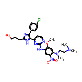 COc1cc(N(C)CCN(C)C)c([N+](=O)[O-])cc1Nc1nccc(-c2[nH]c(CCCO)nc2-c2ccc(Cl)cc2)n1